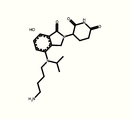 CC(C)N(CCCCN)c1cccc2c1CN(C1CCC(=O)NC1=O)C2=O.Cl